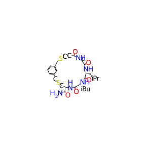 CC[C@H](C)[C@@H]1NC(=O)[C@H](CC(C)C)NC(=O)C(C)(C)NC(=O)CCSCc2cccc(c2)CSC[C@@H](C(N)=O)NC1=O